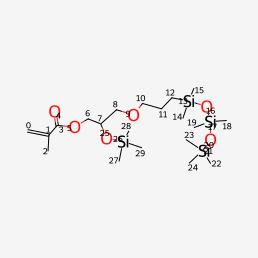 C=C(C)C(=O)OCC(COCCC[Si](C)(C)O[Si](C)(C)O[Si](C)(C)C)O[Si](C)(C)C